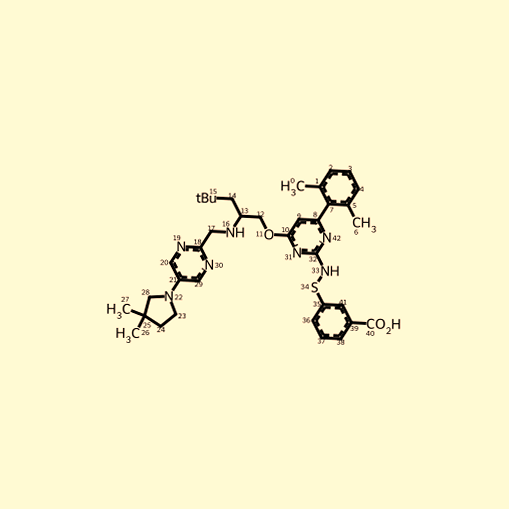 Cc1cccc(C)c1-c1cc(OCC(CC(C)(C)C)NCc2ncc(N3CCC(C)(C)C3)cn2)nc(NSc2cccc(C(=O)O)c2)n1